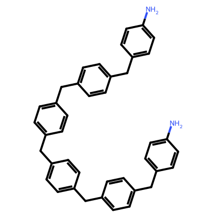 Nc1ccc(Cc2ccc(Cc3ccc(Cc4ccc(Cc5ccc(Cc6ccc(N)cc6)cc5)cc4)cc3)cc2)cc1